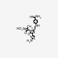 C[C@H]1[C@H](NC(=O)C(=NOCCNc2ccc(C(=N)N)cc2)c2csc(N)n2)C(=O)N1S(=O)(=O)O